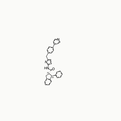 O=C(Nc1nc(Cc2ccc(-c3ccncc3)cc2)cs1)[C@H]1Cc2ccccc2[C@@H]1c1ccccc1